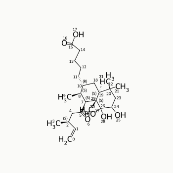 C=C[C@@H](C)CC(=O)[C@H]1[C@@H](C)[C@H](CCCCC(=O)O)C[C@H]2C(C)(C)CC(O)C(O)(O)[C@]12C